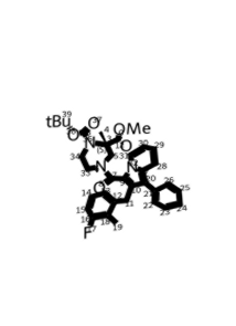 COC(=O)[C@]1(C)CN(C(=O)c2c(Cc3cccc(F)c3C)c(-c3ccccc3)c3ccccn23)CCN1C(=O)OC(C)(C)C